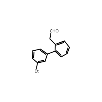 CCc1cccc(-c2ccccc2CC=O)c1